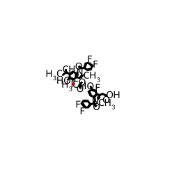 CCC(C)c1cc2c(c(F)c1O)c(OC(C)=O)c(C)n2C(=O)c1ccc(F)c(F)c1.Cc1c(CC(=O)O)c2c(F)c(O)ccc2n1C(=O)c1ccc(F)c(F)c1